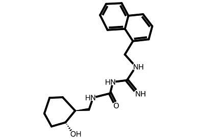 N=C(NCc1cccc2ccccc12)NC(=O)NC[C@@H]1CCCC[C@H]1O